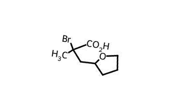 CC(Br)(CC1CCCO1)C(=O)O